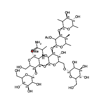 CO[C@H]1OC(CO)[C@H](O[C@H]2OC(CO)[C@@H](O)[C@H](O)C2O)[C@H](O[C@@H]2OC(CO[C@H]3OC(CO)[C@@H](O)[C@H](O)C3O)[C@@H](O)[C@H](O[C@@H]3OC(C)[C@H](C)[C@H](O[C@@H]4OC(C)[C@@H](O)[C@H](O)C4C)C3OC(C)=O)C2O)C1NC(C)C(N)=O